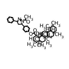 CC(=O)N1N=C(c2ccccc2)CC1c1ccc(OC(=O)C2(O)CCC(C)(C)[C@@H]3CC[C@]4(C)[C@H](CC[C@@H]5[C@@H]6[C@@H](C)[C@H](C)CC[C@]6(C)CC[C@]54C)[C@]32C)cc1